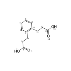 O=C(O)CCc1[c]cccc1CCC(=O)O